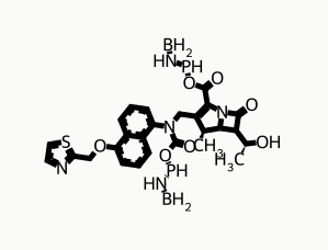 BNPOC(=O)C1=C(CN(C(=O)OPNB)c2cccc3c(OCc4nccs4)cccc23)[C@H](C)C2C([C@@H](C)O)C(=O)N12